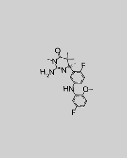 COc1ccc(F)cc1Nc1ccc(F)c([C@@]2(C)N=C(N)N(C)C(=O)C2(C)C)c1